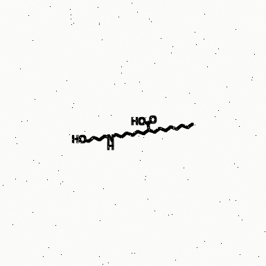 CCCCCCCCC(CCCCCCNCCCCO)C(=O)O